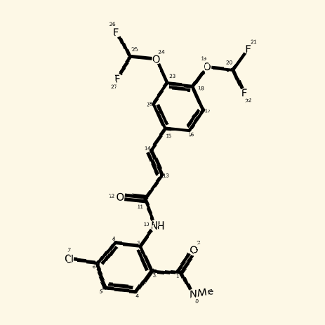 CNC(=O)c1ccc(Cl)cc1NC(=O)/C=C/c1ccc(OC(F)F)c(OC(F)F)c1